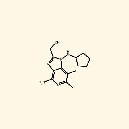 Cc1nc(N)c2nc(CO)n(NC3CCCC3)c2c1C